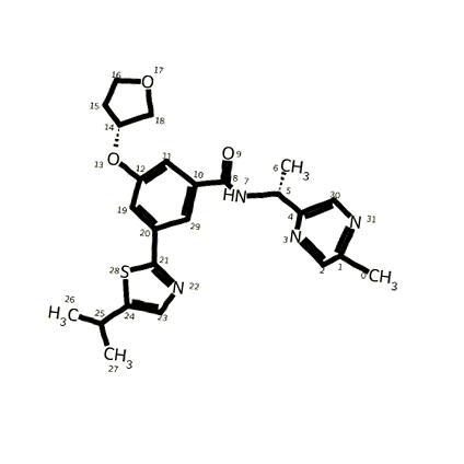 Cc1cnc([C@@H](C)NC(=O)c2cc(O[C@@H]3CCOC3)cc(-c3ncc(C(C)C)s3)c2)cn1